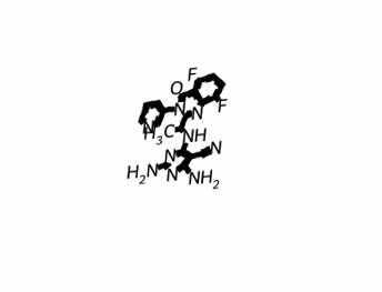 CC(Nc1nc(N)nc(N)c1C#N)c1nc2c(F)ccc(F)c2c(=O)n1-c1cccnc1